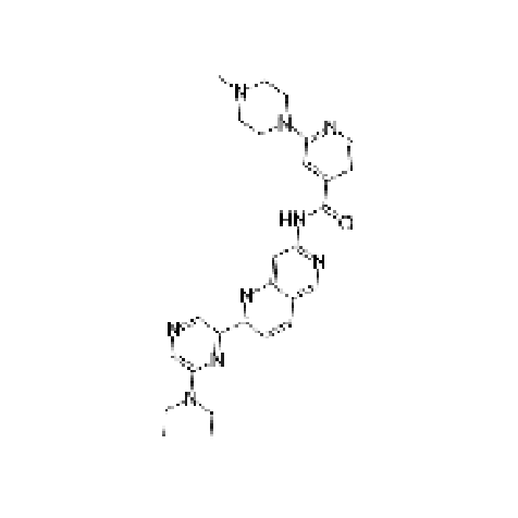 CCN(CC)c1cncc(-c2ccc3cnc(NC(=O)c4ccnc(N5CCN(C)CC5)c4)cc3n2)n1